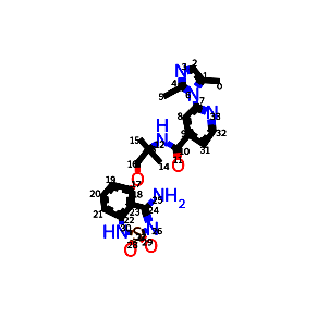 Cc1cnc(C)n1-c1cc(C(=O)NC(C)(C)COc2cccc3c2C(N)=NS(=O)(=O)N3)ccn1